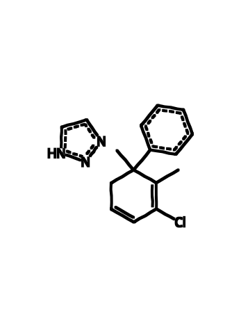 CC1=C(Cl)C=CCC1(C)c1ccccc1.c1c[nH]nn1